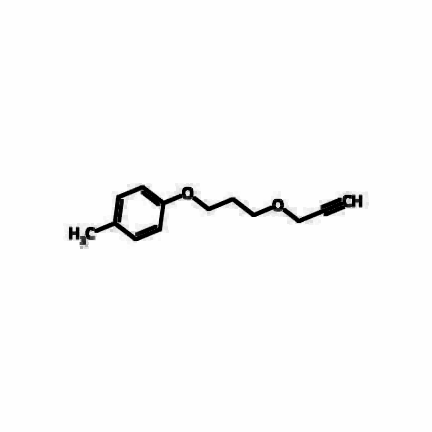 C#CCOCCCOc1ccc(C)cc1